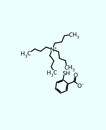 CCCC[N+](CCCC)(CCCC)CCCC.O=C([O-])c1ccccc1S